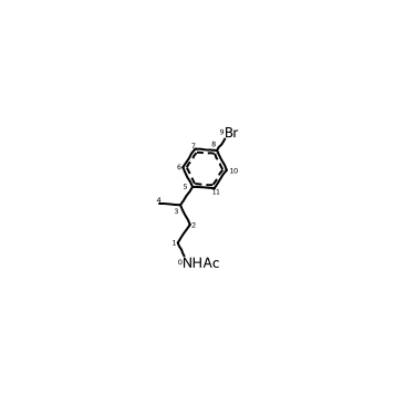 CC(=O)NCCC(C)c1ccc(Br)cc1